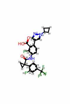 O=C(O)c1c(-c2cnn(C3CCC3)c2)ccc(NC(=O)C2(c3ccc(C(F)(F)F)cc3F)CC2)c1F